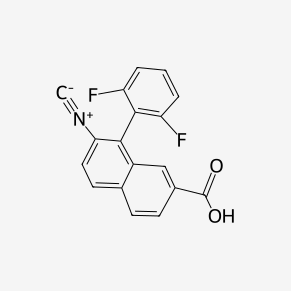 [C-]#[N+]c1ccc2ccc(C(=O)O)cc2c1-c1c(F)cccc1F